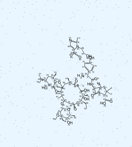 CC1(C)S[C@@H]2[C@H](NC(=O)[C@H](N)c3ccc(O)cc3)C(=O)N2[C@H]1C(=O)O.CC[C@H]1OC(=O)[C@H](C)[C@@H](O[C@H]2C[C@@](C)(OC)[C@@H](O)[C@H](C)O2)C(C)[C@@H](O[C@@H]2O[C@H](C)C[C@H](N(C)C)[C@H]2O)[C@](C)(OC)C[C@@H](C)C(=O)[C@H](C)[C@@H](O)[C@]1(C)O.Cc1ncc([N+](=O)[O-])n1CCO